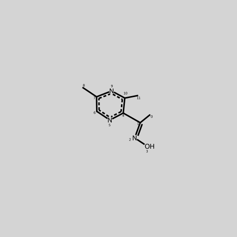 C/C(=N\O)c1ncc(C)nc1C